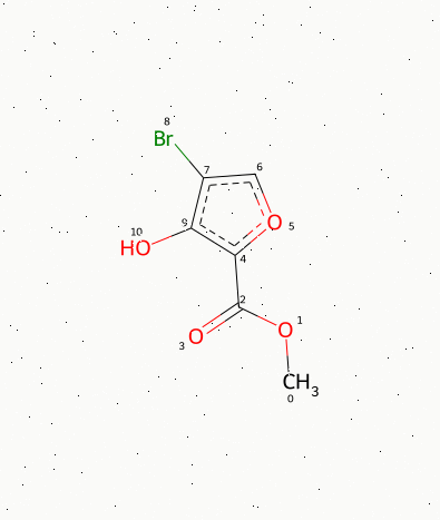 COC(=O)c1occ(Br)c1O